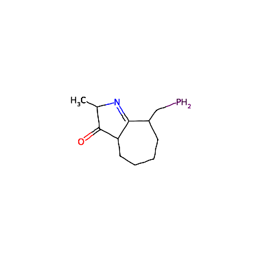 CC1N=C2C(CP)CCCCC2C1=O